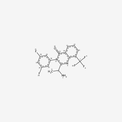 CC(N)c1nc2c(C(F)(F)F)cccc2c(=O)n1-c1cc(F)cc(F)c1